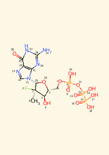 C[C@@]1(F)[C@H](O)[C@@H](COP(=O)(O)OP(=O)(O)P(=O)(O)O)O[C@H]1n1cnc2c(=O)[nH]c(N)nc21